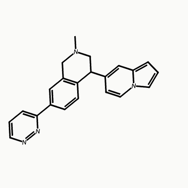 CN1Cc2cc(-c3cccnn3)ccc2C(c2ccn3cccc3c2)C1